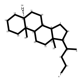 CC(CCI)C1CCC2C3CC[C@@H]4CCCCC4(C)C3CCC12C